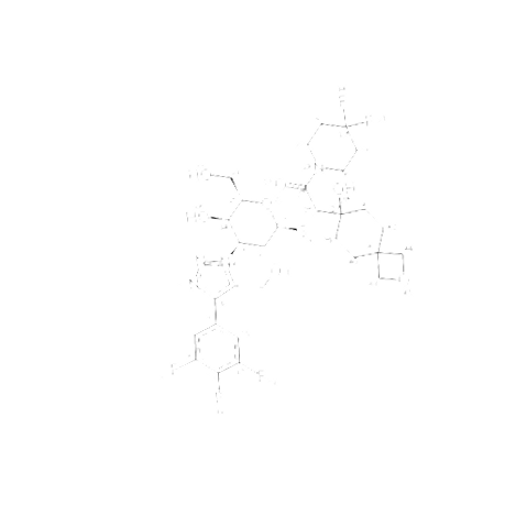 CO[C@@H]1[C@@H](n2cc(-c3cc(F)c(F)c(F)c3)nn2)[C@@H](O)[C@@H](CO)O[C@H]1S[C@H](C(=O)N1CCC(F)(F)CC1)C1(O)CCC2(CC1)COC2